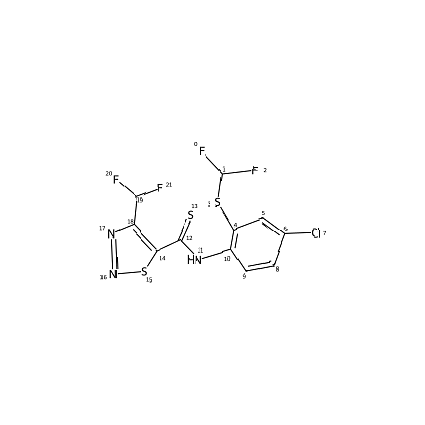 FC(F)Sc1cc(Cl)ccc1NC(=S)c1snnc1C(F)F